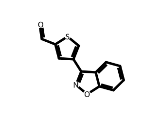 O=Cc1cc(-c2noc3ccccc23)cs1